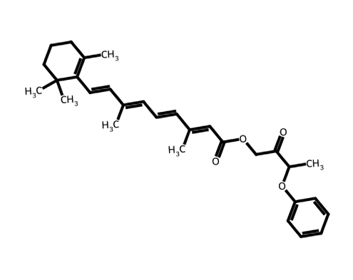 CC1=C(/C=C/C(C)=C/C=C/C(C)=C/C(=O)OCC(=O)C(C)Oc2ccccc2)C(C)(C)CCC1